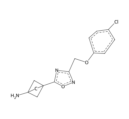 NC12CC(c3nc(COc4ccc(Cl)cc4)no3)(C1)C2